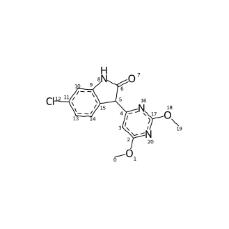 COc1cc(C2C(=O)Nc3cc(Cl)ccc32)nc(OC)n1